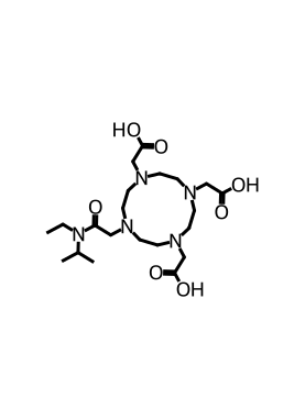 CCN(C(=O)CN1CCN(CC(=O)O)CCN(CC(=O)O)CCN(CC(=O)O)CC1)C(C)C